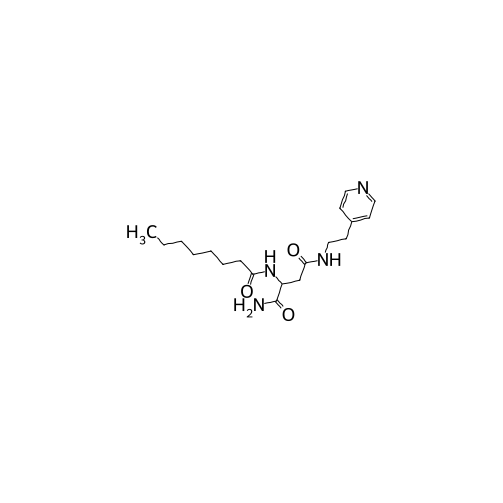 CCCCCCCC(=O)NC(CC(=O)NCCc1ccncc1)C(N)=O